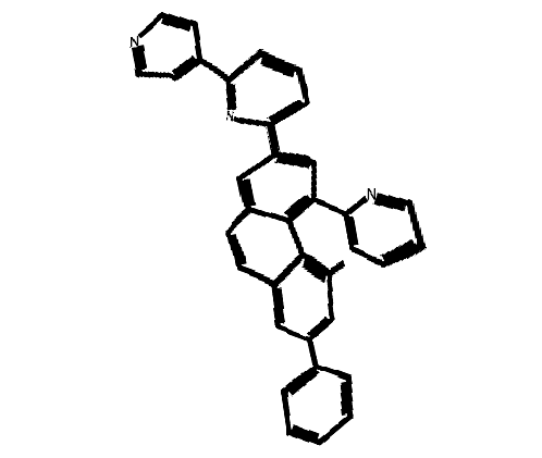 Cc1cc(-c2ccccc2)cc2ccc3cc(-c4cccc(-c5ccncc5)n4)cc(-c4ccccn4)c3c12